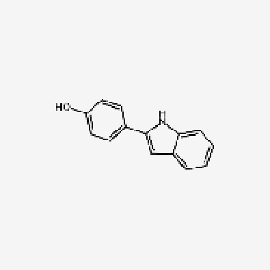 Oc1ccc(-c2cc3ccccc3[nH]2)cc1